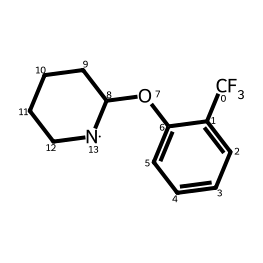 FC(F)(F)c1ccccc1OC1CCCC[N]1